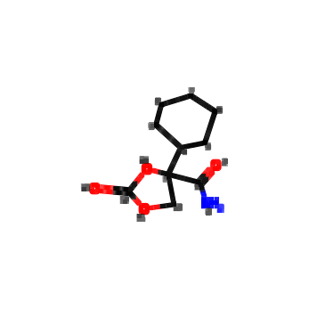 NC(=O)C1(C2CCCCC2)COC(=O)O1